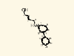 OCC=CCNc1cccc(-c2ccccc2)c1